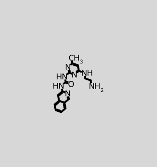 Cc1cc(NCCN)nc(NC(=O)Nc2cc3ccccc3cn2)n1